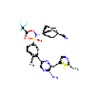 Cc1ncc(-c2nc(-c3cc(S(=O)(=O)N(OC(=O)C(F)(F)F)C45CCC(C#N)(C4)C5)ccc3C)cnc2N)s1